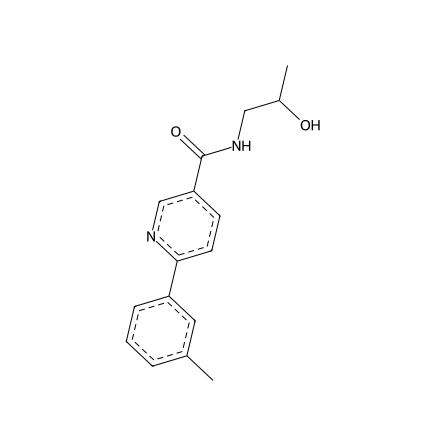 Cc1cccc(-c2ccc(C(=O)NCC(C)O)cn2)c1